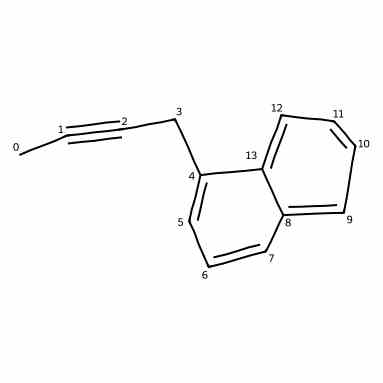 CC#CCc1cccc2ccccc12